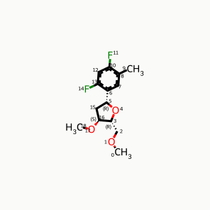 COC[C@H]1O[C@@H](c2cc(C)c(F)cc2F)C[C@@H]1OC